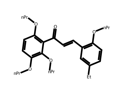 CCCOc1ccc(CC)cc1C=CC(=O)c1c(OCCC)ccc(OCCC)c1OCCC